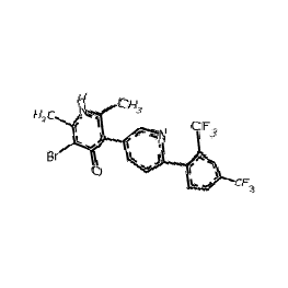 Cc1[nH]c(C)c(-c2ccc(-c3ccc(C(F)(F)F)cc3C(F)(F)F)nc2)c(=O)c1Br